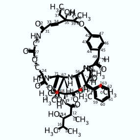 CC[C@H](C)[C@H]1NC(=O)[C@@H](NC(=O)[C@H](C)[C@H](O)C(C)C)[C@@H](C)OC(=O)[C@@H]2COC(=O)CNC(=O)/C=C/[C@](O)(CC)[C@@H](C)Oc3ccc(cc3)[C@H](NC1=O)C(=O)N(C)[C@@H](Cc1ccccc1)C(=O)N[C@H]([C@@H](C)O)C(=O)N2